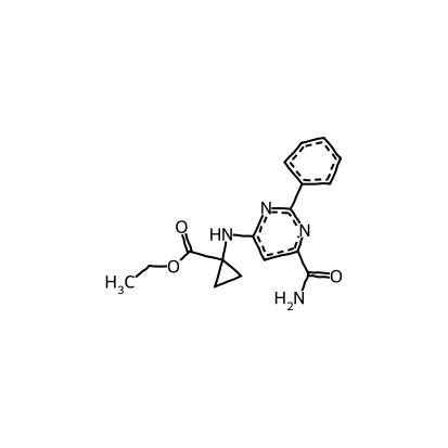 CCOC(=O)C1(Nc2cc(C(N)=O)nc(-c3ccccc3)n2)CC1